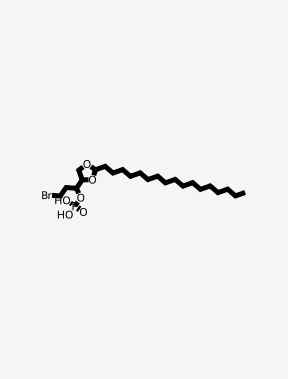 CCCCCCCCCCCCCCCCCC1OCC(C(CCBr)OP(=O)(O)O)O1